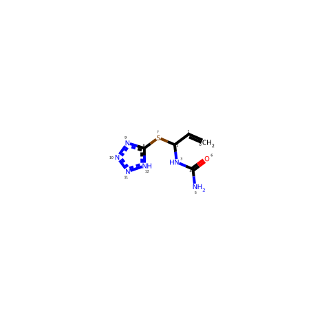 C=CC(NC(N)=O)Sc1nnn[nH]1